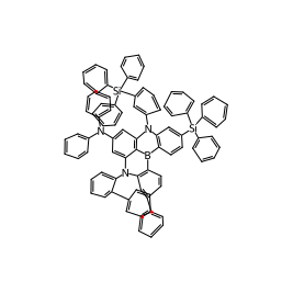 c1ccc(-c2ccc3c(c2)N(c2ccccc2-c2ccccc2)c2cc(N(c4ccccc4)c4ccccc4)cc4c2B3c2ccc([Si](c3ccccc3)(c3ccccc3)c3ccccc3)cc2N4c2cccc([Si](c3ccccc3)(c3ccccc3)c3ccccc3)c2)cc1